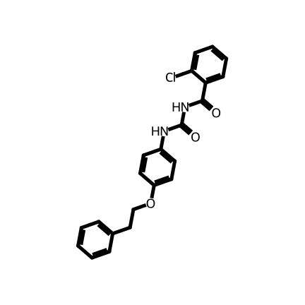 O=C(NC(=O)c1ccccc1Cl)Nc1ccc(OCCc2ccccc2)cc1